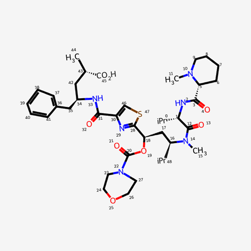 CC(C)[C@H](NC(=O)[C@H]1CCCCN1C)C(=O)N(C)[C@H](C[C@@H](OC(=O)N1CCOCC1)c1nc(C(=O)N[C@@H](Cc2ccccc2)C[C@H](C)C(=O)O)cs1)C(C)C